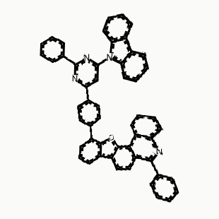 c1ccc(-c2nc(-c3ccc(-c4cccc5c4oc4c5ccc5c(-c6ccccc6)nc6ccccc6c54)cc3)cc(-n3c4ccccc4c4ccccc43)n2)cc1